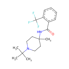 CC1(NC(=O)c2ccccc2C(F)(F)F)CCN(C(C)(C)C)CC1